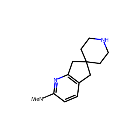 CNc1ccc2c(n1)CC1(CCNCC1)C2